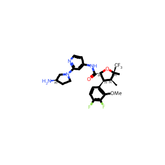 COc1c([C@H]2[C@H](C(=O)Nc3ccnc(N4CC[C@@H](N)C4)c3)O[C@@](C)(C(F)(F)F)[C@H]2C)ccc(F)c1F